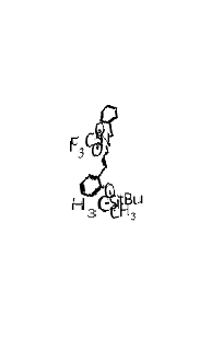 CC(C)(C)[Si](C)(C)Oc1ccccc1C=CCN(Cc1ccccc1)S(=O)(=O)C(F)(F)F